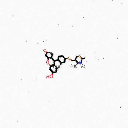 CC(=O)N1C(C=O)=C(CSc2ccc(-c3c4ccc(=O)cc-4oc4cc(O)ccc34)c(C=O)c2)CSC1C